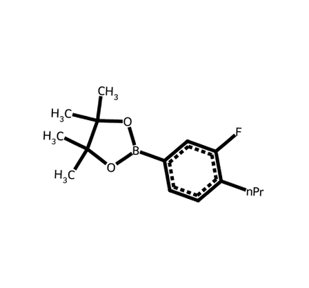 CCCc1ccc(B2OC(C)(C)C(C)(C)O2)cc1F